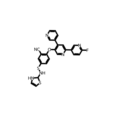 N#Cc1cc(SNC2NC=CS2)ccc1Oc1cnc(-c2ccc(F)nc2)cc1-c1cccnc1